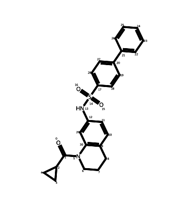 O=C(C1CC1)N1CCCc2ccc(NS(=O)(=O)c3ccc(-c4ccccc4)cc3)cc21